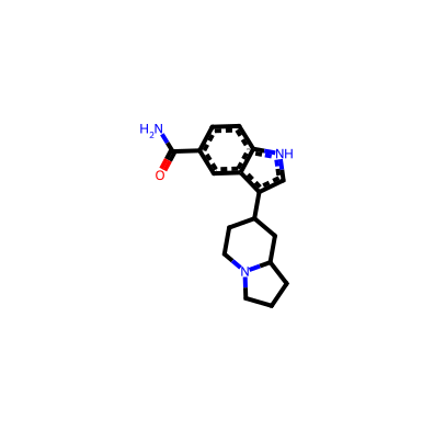 NC(=O)c1ccc2[nH]cc(C3CCN4CCCC4C3)c2c1